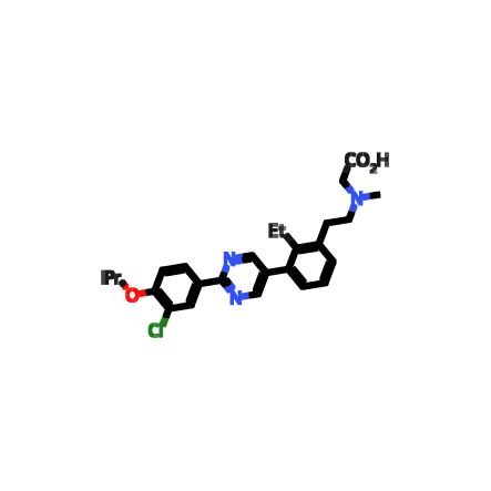 CCc1c(CCN(C)CC(=O)O)cccc1-c1cnc(-c2ccc(OC(C)C)c(Cl)c2)nc1